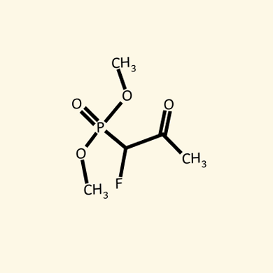 COP(=O)(OC)C(F)C(C)=O